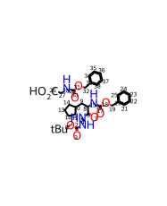 CC(C)(C)OC(=O)NNC(=O)C(CC1CCCC1)NC(=O)OCc1ccccc1.O=C(O)CNC(=O)OCc1ccccc1